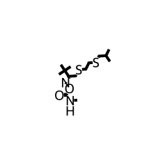 CNC(=O)ON=C(CSCCSCC(C)C)C(C)(C)C